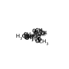 CCS(=O)(=O)Nc1ccc(Oc2ccc(F)cc2F)c(-c2cn(C)c(=O)cc2OC2CC3(C2)CN(C(=O)OC(C)(C)C)C3)c1